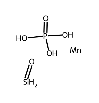 O=P(O)(O)O.O=[SiH2].[Mn]